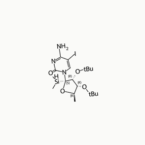 C[C@H]1O[C@](n2cc(I)c(N)nc2=O)([SiH](C)C)[C@H](OC(C)(C)C)[C@@H]1OC(C)(C)C